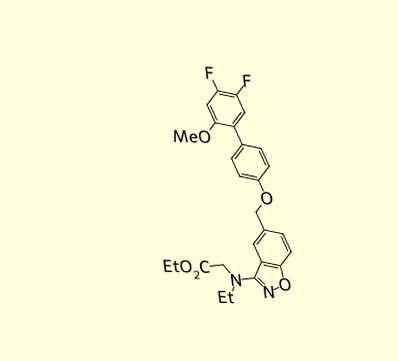 CCOC(=O)CN(CC)c1noc2ccc(COc3ccc(-c4cc(F)c(F)cc4OC)cc3)cc12